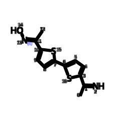 CC(=N)c1ccc(-c2ccc(/C(C)=N/O)s2)s1